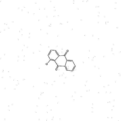 [O]c1cccc2c1C(=O)c1ccccc1C2=O